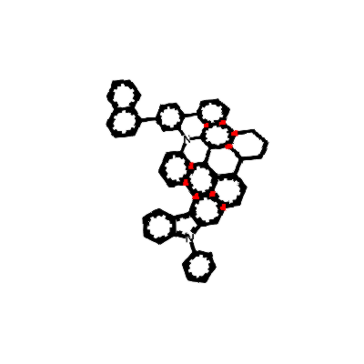 c1ccc(-c2ccc(-c3cccc4ccccc34)cc2N(c2cccc(-c3cccc4c3c3ccccc3n4-c3ccccc3)c2)c2ccccc2-c2cccc3cccc(C4CCCCC4)c23)cc1